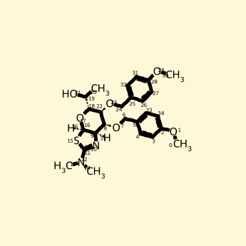 COc1ccc(CO[C@@H]2[C@H]3N=C(N(C)C)S[C@H]3O[C@H](C(C)O)[C@@H]2OCc2ccc(OC)cc2)cc1